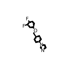 Fc1ccc(OCc2ccc(-n3ccnc3)cc2)cc1F